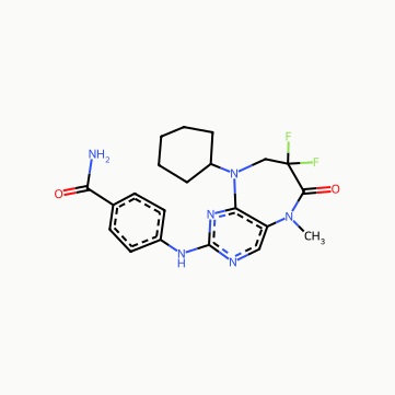 CN1C(=O)C(F)(F)CN(C2CCCCC2)c2nc(Nc3ccc(C(N)=O)cc3)ncc21